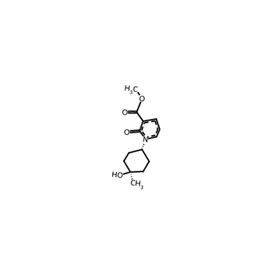 COC(=O)c1cccn([C@H]2CC[C@](C)(O)CC2)c1=O